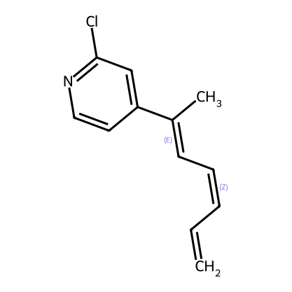 C=C/C=C\C=C(/C)c1ccnc(Cl)c1